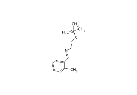 Cc1ccccc1/C=N/CCS[Si](C)(C)C